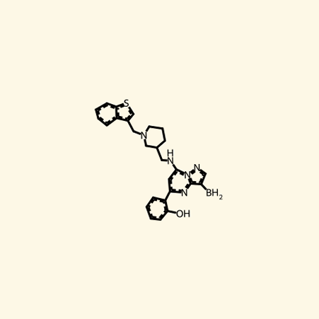 Bc1cnn2c(NCC3CCCN(Cc4csc5ccccc45)C3)cc(-c3ccccc3O)nc12